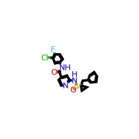 O=C(Nc1ccc(F)c(Cl)c1)c1ccnc(N[S+]([O-])C2(Cc3ccccc3)CC2)c1